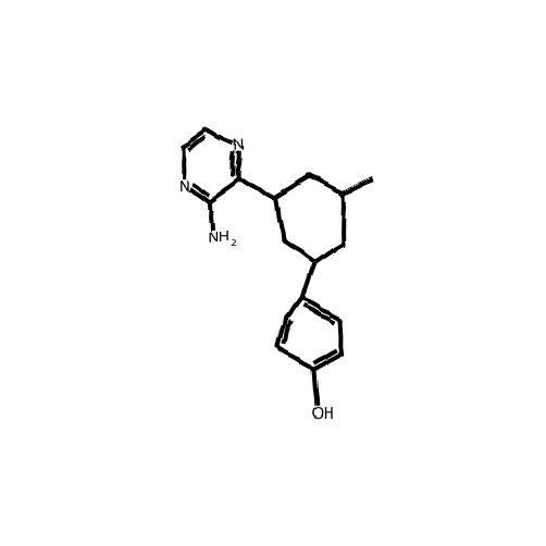 CC1CC(c2ccc(O)cc2)CC(c2nccnc2N)C1